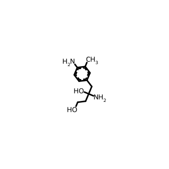 Cc1cc(CC(N)(O)CCO)ccc1N